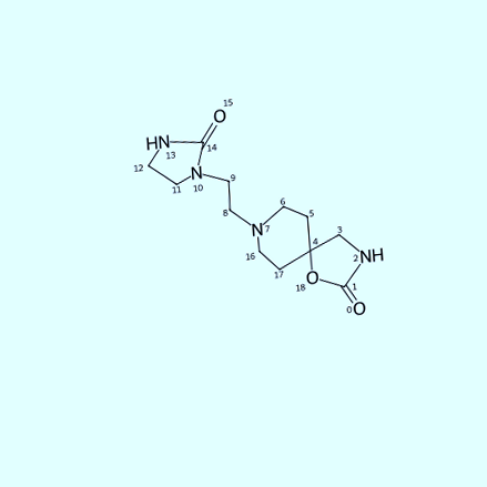 O=C1NCC2(CCN(CCN3CCNC3=O)CC2)O1